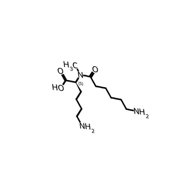 CN(C(=O)CCCCCN)[C@@H](CCCCN)C(=O)O